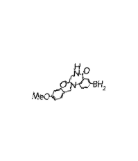 Bc1ccc2c(c1)C(=O)NCC(=O)N2Cc1ccc(OC)cc1